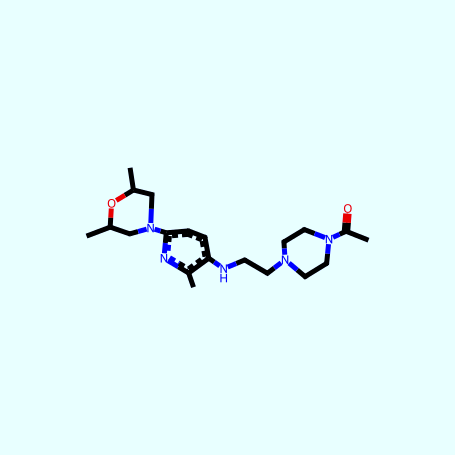 CC(=O)N1CCN(CCNc2ccc(N3CC(C)OC(C)C3)nc2C)CC1